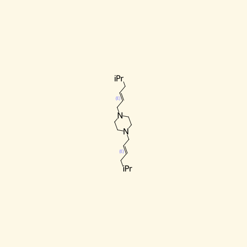 CC(C)C/C=C/CN1CCN(C/C=C/CC(C)C)CC1